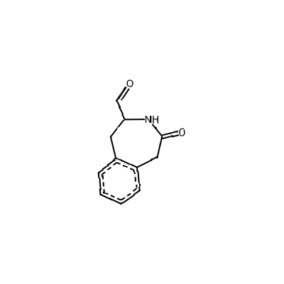 O=CC1Cc2ccccc2CC(=O)N1